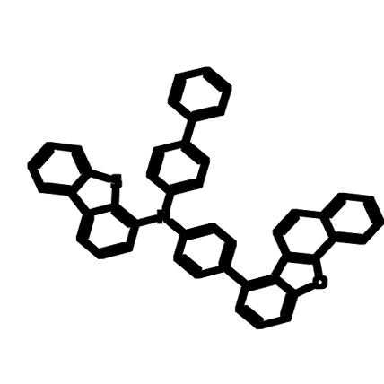 c1ccc(-c2ccc(N(c3ccc(-c4cccc5oc6c7ccccc7ccc6c45)cc3)c3cccc4c3sc3ccccc34)cc2)cc1